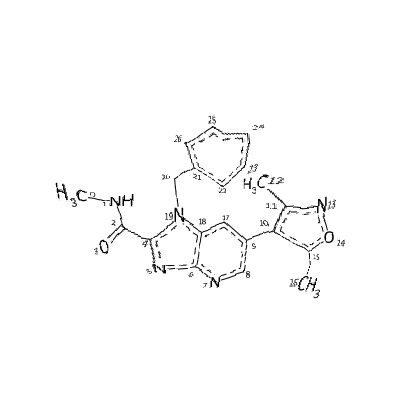 CNC(=O)c1nc2ncc(-c3c(C)noc3C)cc2n1Cc1ccccc1